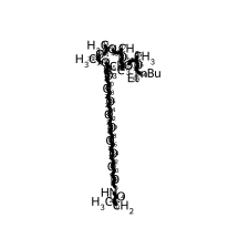 C=C(C)C(=O)NCCOCCOCCOCCOCCOCCOCCOCCOCCOCC(C)OCC(C)OCC(C)OCC(C)OCC(C)OCC(C)OCC(CC)CCCC